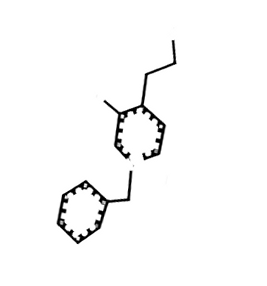 CCCc1cc[n+](Cc2ccccc2)cc1C.[I-]